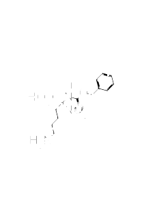 NCCCC[C@](NC(=O)OCc1ccccc1)(C(=O)O)[N+](=O)[O-]